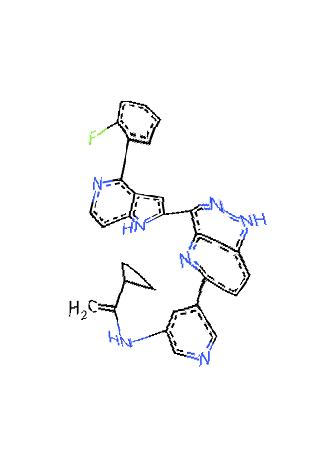 C=C(Nc1cncc(-c2ccc3[nH]nc(-c4cc5c(-c6ccccc6F)nccc5[nH]4)c3n2)c1)C1CC1